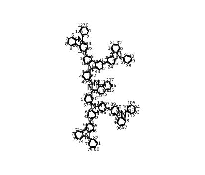 c1ccc(-n2c3ccccc3c3cc(-c4ccc5c(c4)c4cc(-c6ccc7c(c6)c6ccccc6n7-c6ccccc6)ccc4n5-c4cccc(-c5nc(-c6cccc(-n7c8ccc(-c9ccc%10c(c9)c9ccccc9n%10-c9ccccc9)cc8c8cc(-c9ccc%10c(c9)c9ccccc9n%10-c9ccccc9)ccc87)c6)c6ccc7ccccc7c6n5)c4)ccc32)cc1